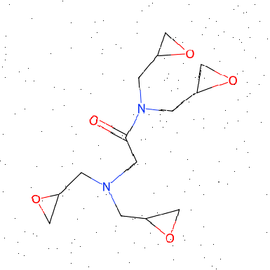 O=C(CN(CC1CO1)CC1CO1)N(CC1CO1)CC1CO1